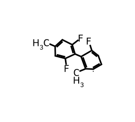 Cc1cc(F)c(-c2c(C)[c]ccc2F)c(F)c1